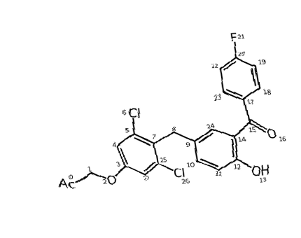 CC(=O)COc1cc(Cl)c(Cc2ccc(O)c(C(=O)c3ccc(F)cc3)c2)c(Cl)c1